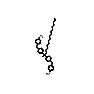 CCCCCCCCCCCCCCCCC(C)(c1ccc(Cc2ccc(N)cc2)cc1)c1ccc(Cc2ccc(N)cc2)cc1